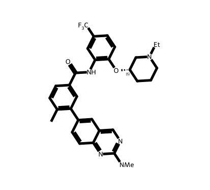 CCN1CCC[C@H](Oc2ccc(C(F)(F)F)cc2NC(=O)c2ccc(C)c(-c3ccc4nc(NC)ncc4c3)c2)C1